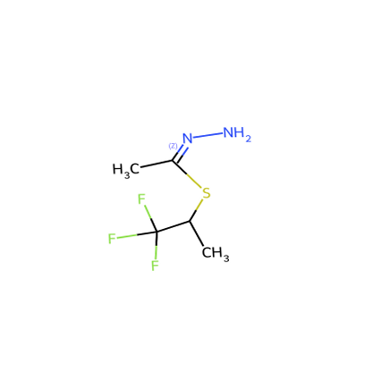 C/C(=N/N)SC(C)C(F)(F)F